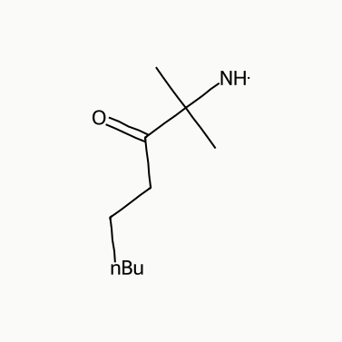 CCCCCCC(=O)C(C)(C)[NH]